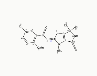 CCCCN1C2=C(S/C1=C\C(=O)c1cc(Cl)ccc1OC)C(CC)(CC)NC2=O